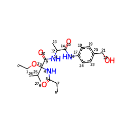 CCOC(NC(=O)CC)(C(=O)NC(C)C(=O)Nc1ccc(CO)cc1)C(C)C